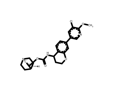 COc1ncc(-c2ccc3c(c2)OCCC3NC(=O)O[C@@H]2CN3CCC2CC3)cc1Cl